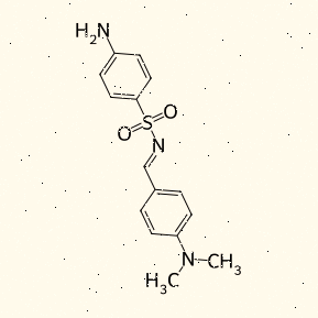 CN(C)c1ccc(C=NS(=O)(=O)c2ccc(N)cc2)cc1